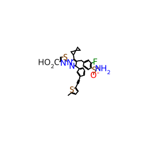 Cc1ccc(C#Cc2cccc(-c3nn(-c4nc(C(=O)O)cs4)c(C4CC45CC5)c3Cc3ccc([S+](N)[O-])c(F)c3)c2)s1